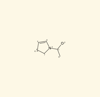 CC([O])N1C=CSC1